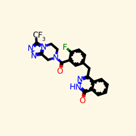 O=C(c1cc(Cc2n[nH]c(=O)c3ccccc23)ccc1F)N1CCn2c(nnc2C(F)(F)F)C1